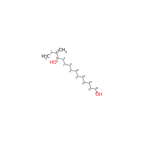 CCC(C)C(O)CCCCCCCCCCCO